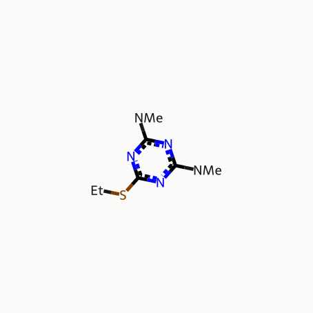 CCSc1nc(NC)nc(NC)n1